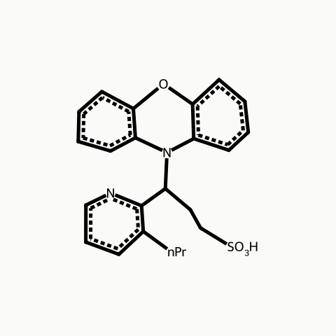 CCCc1cccnc1C(CCS(=O)(=O)O)N1c2ccccc2Oc2ccccc21